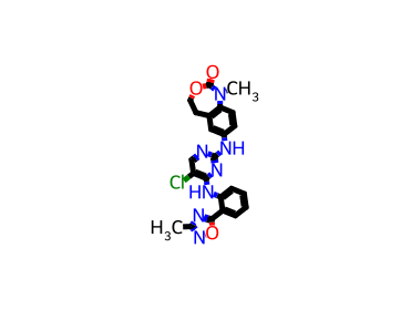 Cc1noc(-c2ccccc2Nc2nc(Nc3ccc4c(c3)CCOC(=O)N4C)ncc2Cl)n1